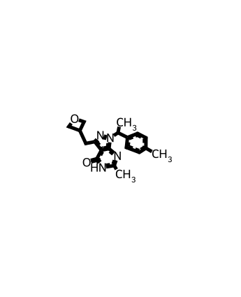 Cc1ccc(C(C)n2nc(CC3COC3)c3c(=O)[nH]c(C)nc32)cc1